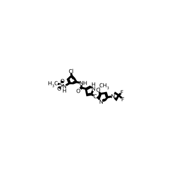 COc1cc(N2CC(F)(F)C2)cnc1Cc1cc(C(=O)Nc2cc(Cl)cc(NS(C)(=O)=O)c2)c[nH]1